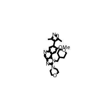 COc1cc2c(cc1-c1c(C)noc1C)ncc1nc(N3CCOCC3)n(CC3CCOCC3)c12